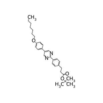 CCCCCCCOc1ccc(-c2cnc(-c3ccc(CCC(=O)OC(C)(C)C)cc3)nc2)cc1